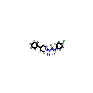 Fc1ccc(NC(=S)NN2CC=C(c3ccccc3)CC2)cc1